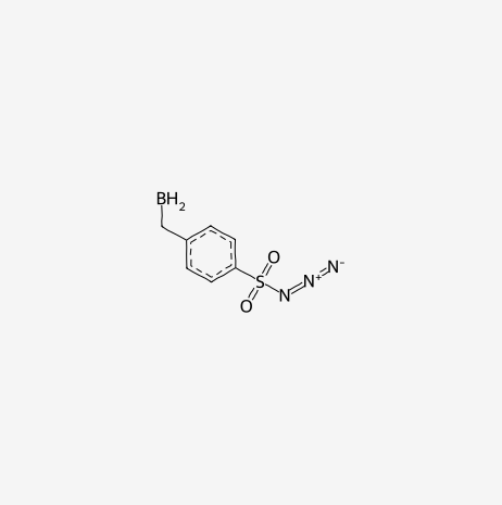 BCc1ccc(S(=O)(=O)N=[N+]=[N-])cc1